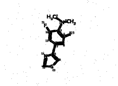 CN(C)c1c(F)cc(-c2cs[c]n2)cc1F